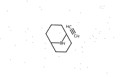 B1C2CCCC1CCC2.C#C